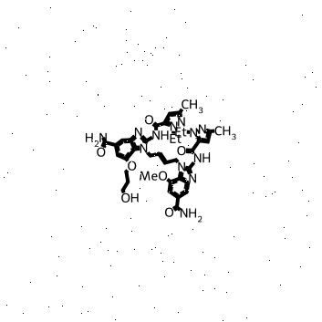 CCn1nc(C)cc1C(=O)Nc1nc2cc(C(N)=O)cc(OC)c2n1CC=CCn1c(NC(=O)c2cc(C)nn2CC)nc2cc(C(N)=O)cc(OCCCO)c21